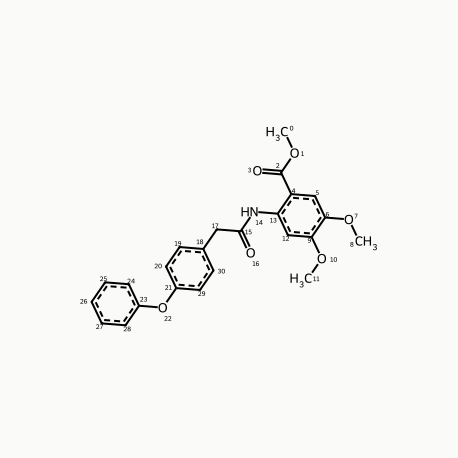 COC(=O)c1cc(OC)c(OC)cc1NC(=O)Cc1ccc(Oc2ccccc2)cc1